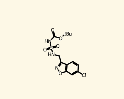 CC(C)(C)OC(=O)NS(=O)(=O)NCc1noc2cc(Cl)ccc12